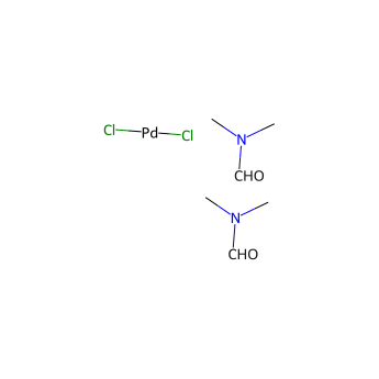 CN(C)C=O.CN(C)C=O.[Cl][Pd][Cl]